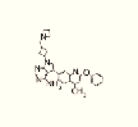 Cc1cc(Oc2ccccc2)nc2cc(-c3cn(C4CC(CN5CCC5)C4)c4ncnc(N)c34)ccc12